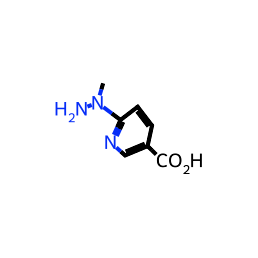 CN(N)c1ccc(C(=O)O)cn1